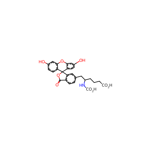 O=C(O)CCCC(Cc1ccc2c(c1)C1(OC2=O)c2ccc(O)cc2Oc2cc(O)ccc21)NC(=O)O